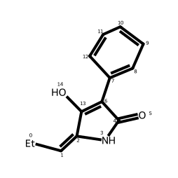 CCC=C1NC(=O)C(c2ccccc2)=C1O